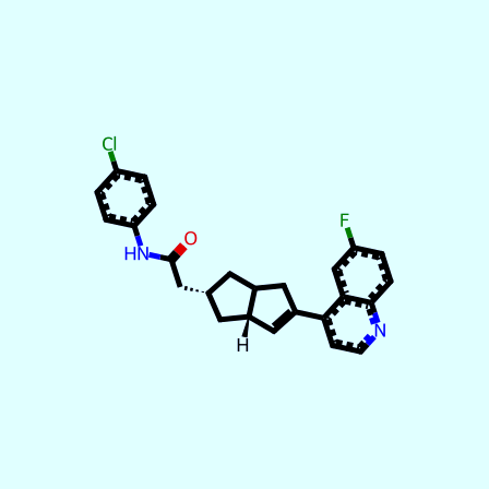 O=C(C[C@@H]1CC2CC(c3ccnc4ccc(F)cc34)=C[C@@H]2C1)Nc1ccc(Cl)cc1